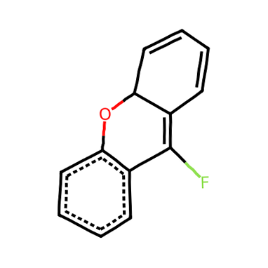 FC1=C2C=CC=CC2Oc2ccccc21